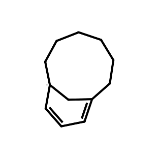 C1=C[C]2CCCCCCC(=C1)C2